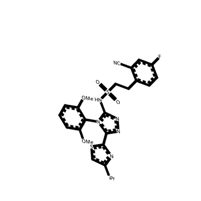 COc1cccc(OC)c1-n1c(NS(=O)(=O)CCc2ccc(F)cc2C#N)nnc1-c1nc(C(C)C)cs1